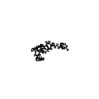 COc1ccc(OC)c(Nc2[nH]nc3c2Cc2cc(OCCCN(C)C)ccc2-3)c1